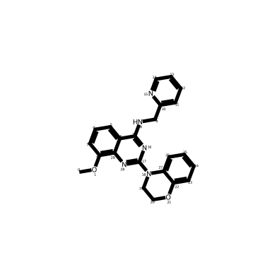 COc1cccc2c(NCc3ccccn3)nc(N3CCOc4ccccc43)nc12